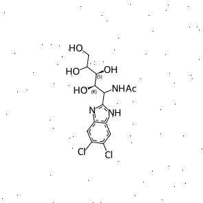 CC(=O)NC(c1nc2cc(Cl)c(Cl)cc2[nH]1)[C@@H](O)[C@H](O)C(O)CO